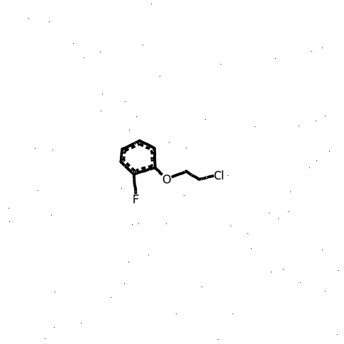 Fc1ccccc1OCCCl